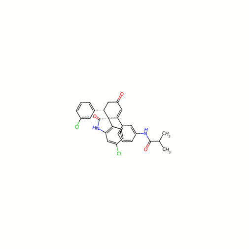 CC(C)C(=O)Nc1cccc(C2=CC(=O)C[C@@H](c3cccc(Cl)c3)[C@@]23C(=O)Nc2cc(Cl)ccc23)c1